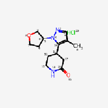 Cc1cnn([C@H]2CCOC2)c1C1CCNC(=O)C1.Cl